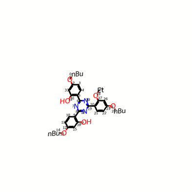 CCCCOc1ccc(-c2nc(-c3ccc(OCCCC)cc3O)nc(-c3ccc(OCCCC)cc3OCC)n2)c(O)c1